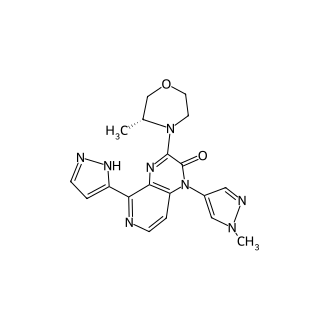 C[C@@H]1COCCN1c1nc2c(-c3ccn[nH]3)nccc2n(-c2cnn(C)c2)c1=O